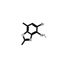 Cc1nc2c(N)c(Br)cc(C)c2o1